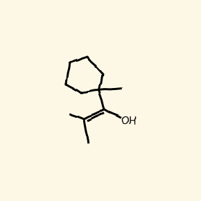 CC(C)=C(O)C1(C)CCCCC1